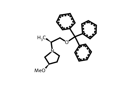 CO[C@@H]1CCN([C@@H](C)COC(c2ccccc2)(c2ccccc2)c2ccccc2)C1